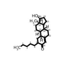 CCCCCC1C[C@H]2C(=CC1=O)CC[C@@H]1[C@@H]2CC[C@]2(C)[C@@H](O)CC[C@@H]12